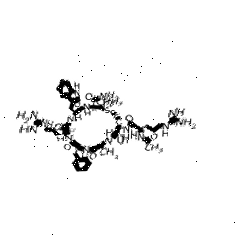 CC(=O)N[C@@H](CCCNC(=N)N)C(=O)N[C@H]1CCSSC(C)(C)[C@@H](C(N)=O)NC(=O)[C@H](Cc2c[nH]c3ccccc23)NC(=O)[C@H](CCCNC(=N)N)NC(=O)[C@@H](Cc2ccccc2)NC(=O)[C@H](C)NC1=O